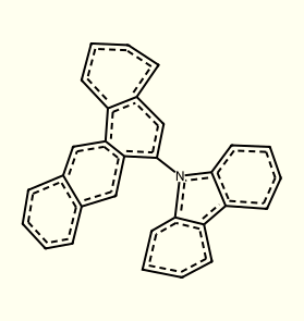 c1ccc2cc3c(cc2c1)c(-n1c2ccccc2c2ccccc21)cc1ccccc13